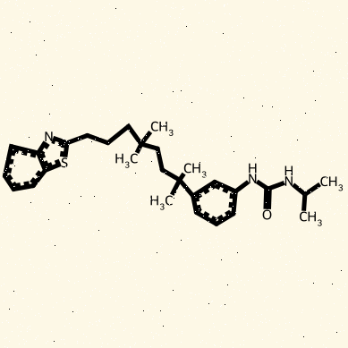 CC(C)NC(=O)Nc1cccc(C(C)(C)CCC(C)(C)CCCc2nc3ccccc3s2)c1